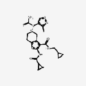 Cc1nocc1N(C(N)=S)[C@H]1CCc2sc(NC(=O)C3CC3)c(C(=O)NCC3CC3)c2C1